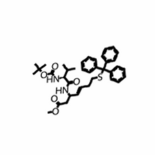 COC(=O)CC(/C=C/CCSC(c1ccccc1)(c1ccccc1)c1ccccc1)NC(=O)[C@@H](NC(=O)OC(C)(C)C)C(C)C